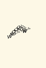 [Nb+5].[Nb+5].[O-2].[O-2].[O-2].[O-2].[O-2].[W].[W]